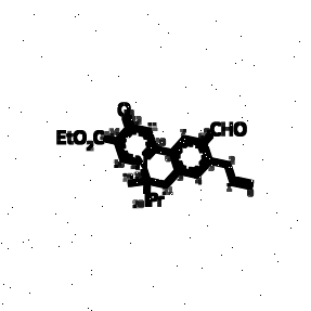 C=CCc1cc2c(cc1C=O)-c1cc(=O)c(C(=O)OCC)cn1C(C)(C(C)C)C2